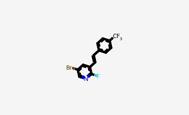 Fc1ncc(Br)cc1/C=C/c1ccc(C(F)(F)F)cc1